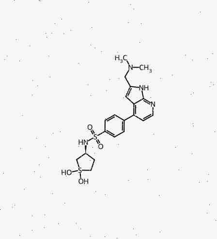 CN(C)Cc1cc2c(-c3ccc(S(=O)(=O)N[C@H]4CCS(O)(O)C4)cc3)ccnc2[nH]1